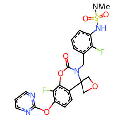 CNS(=O)(=O)Nc1cccc(CN2C(=O)Oc3c(ccc(Oc4ncccn4)c3F)C23COC3)c1F